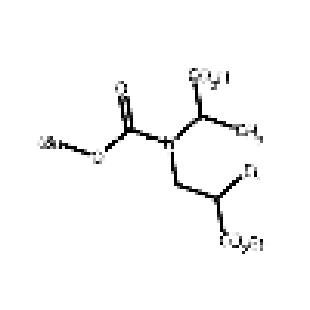 CCOC(=O)C(CC)CN(C(=O)OC(C)(C)C)C(C)C(=O)O